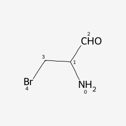 NC(C=O)CBr